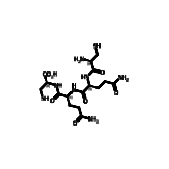 NC(=O)CC[C@H](NC(=O)[C@H](CCC(N)=O)NC(=O)[C@@H](N)CS)C(=O)N[C@@H](CS)C(=O)O